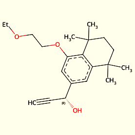 C#C[C@@H](O)c1cc(OCCOCC)c2c(c1)C(C)(C)CCC2(C)C